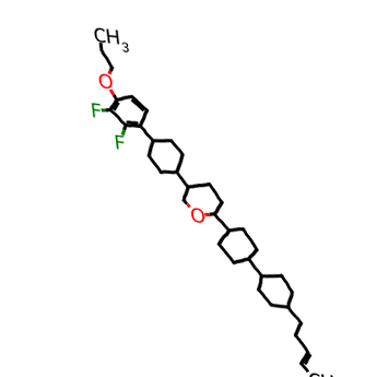 C/C=C/CCC1CCC(C2CCC(C3CCC(C4CCC(c5ccc(OCCC)c(F)c5F)CC4)CO3)CC2)CC1